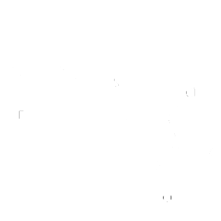 [O]c1cc2cc(-c3ccccc3F)sc2c(Cl)c1Cl